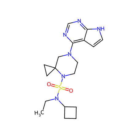 CCN(C1CCC1)S(=O)(=O)N1CCN(c2ncnc3[nH]ccc23)CC12CC2